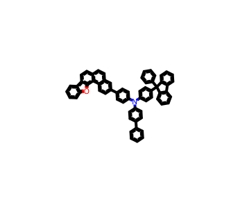 c1ccc(-c2ccc(N(c3ccc(-c4ccc5c(ccc6ccc7c8ccccc8oc7c65)c4)cc3)c3ccc(C4(c5ccccc5)c5ccccc5-c5ccccc54)cc3)cc2)cc1